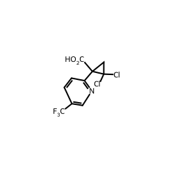 O=C(O)C1(c2ccc(C(F)(F)F)cn2)CC1(Cl)Cl